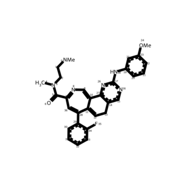 CNCCN(C)C(=O)C1=NC=C2C(=CCc3cnc(Nc4cccc(OC)c4)nc32)C(c2ccccc2F)=C1